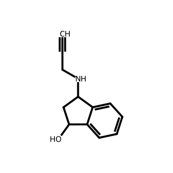 C#CCNC1CC(O)c2ccccc21